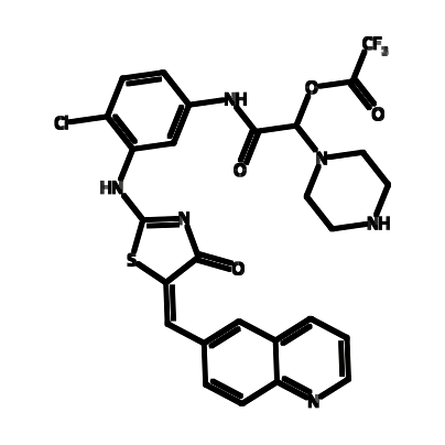 O=C1N=C(Nc2cc(NC(=O)C(OC(=O)C(F)(F)F)N3CCNCC3)ccc2Cl)SC1=Cc1ccc2ncccc2c1